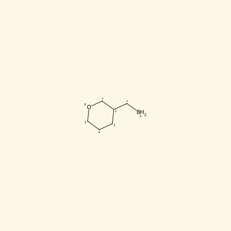 BCC1CCCOC1